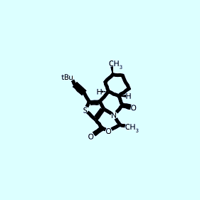 CC1OC(=O)c2sc(C#CC(C)(C)C)c3c2N1C(=O)[C@H]1CC[C@H](C)C[C@H]31